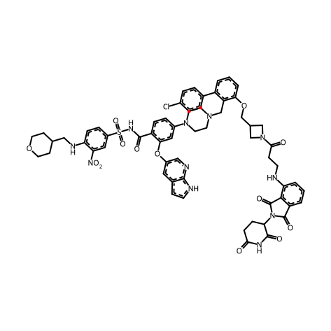 O=C1CCC(N2C(=O)c3cccc(NCCC(=O)N4CC(COc5cccc(-c6ccc(Cl)cc6)c5CN5CCN(c6ccc(C(=O)NS(=O)(=O)c7ccc(NCC8CCOCC8)c([N+](=O)[O-])c7)c(Oc7cnc8[nH]ccc8c7)c6)CC5)C4)c3C2=O)C(=O)N1